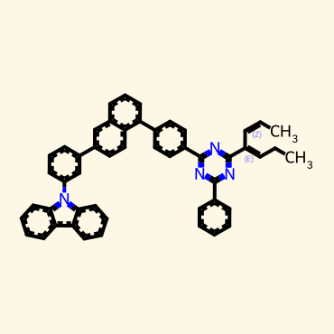 C/C=C\C(=C/CC)c1nc(-c2ccccc2)nc(-c2ccc(-c3cccc4cc(-c5cccc(-n6c7ccccc7c7ccccc76)c5)ccc34)cc2)n1